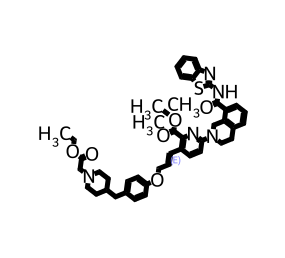 CCOC(=O)CN1CCC(Cc2ccc(OC/C=C/c3ccc(N4CCc5cccc(C(=O)Nc6nc7ccccc7s6)c5C4)nc3C(=O)OC(C)(C)C)cc2)CC1